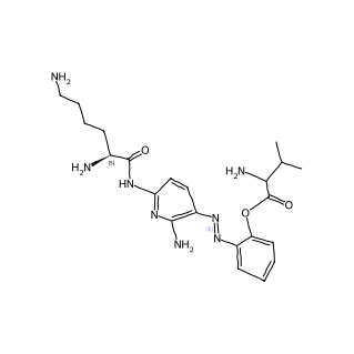 CC(C)C(N)C(=O)Oc1ccccc1/N=N/c1ccc(NC(=O)[C@@H](N)CCCCN)nc1N